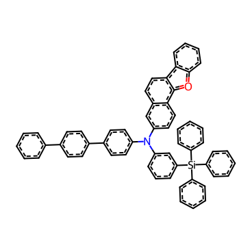 c1ccc(-c2ccc(-c3ccc(N(c4cccc([Si](c5ccccc5)(c5ccccc5)c5ccccc5)c4)c4ccc5c(ccc6c7ccccc7oc56)c4)cc3)cc2)cc1